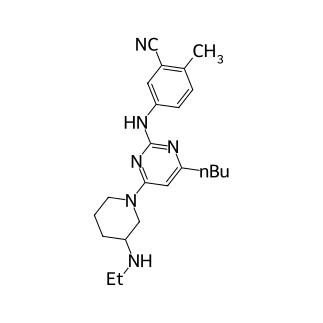 CCCCc1cc(N2CCCC(NCC)C2)nc(Nc2ccc(C)c(C#N)c2)n1